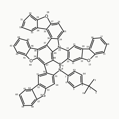 CC(C)(C)c1ccc(N2B3c4cc5oc6ccccc6c5cc4-n4c5ccc6oc7ccccc7c6c5c5c6c(oc7ccccc76)c(c3c54)-c3cc4c(cc32)sc2ccccc24)cc1